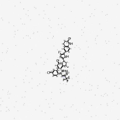 C[C@@H]1CC(c2nc(F)c(-c3ccc4c(c3)CCC(=O)N4)[nH]2)n2c1cc(-c1cc(Cl)ccc1N(N)/C=C(\N)C(F)(F)F)cc2=O